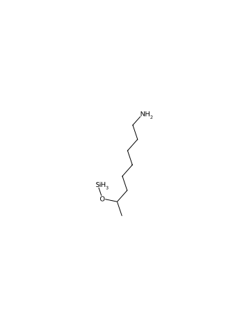 CC(CCCCCCN)O[SiH3]